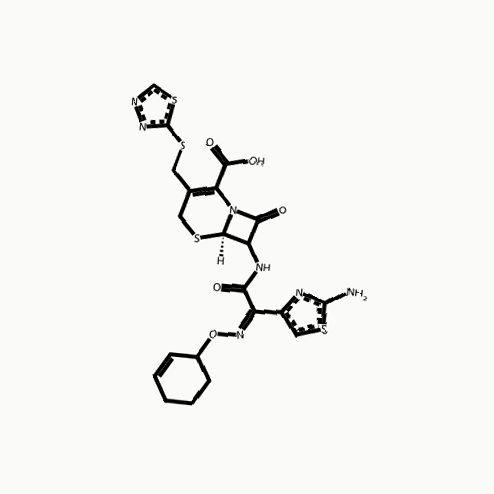 Nc1nc(/C(=N/OC2C=CCCC2)C(=O)NC2C(=O)N3C(C(=O)O)=C(CSc4nncs4)CS[C@H]23)cs1